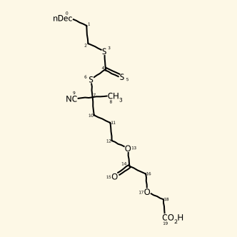 CCCCCCCCCCCCSC(=S)SC(C)(C#N)CCCOC(=O)COCC(=O)O